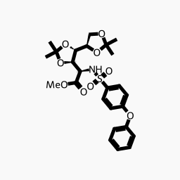 COC(=O)[C@H](NS(=O)(=O)c1ccc(Oc2ccccc2)cc1)[C@H]1OC(C)(C)O[C@@H]1[C@H]1COC(C)(C)O1